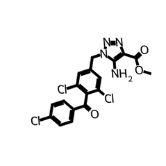 COC(=O)c1nnn(Cc2cc(Cl)c(C(=O)c3ccc(Cl)cc3)c(Cl)c2)c1N